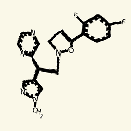 Cn1cc(C(CN2CC=C(c3ccc(F)cc3F)O2)c2cnccn2)cn1